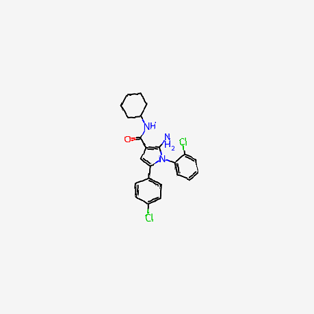 Nc1c(C(=O)NC2CCCCC2)cc(-c2ccc(Cl)cc2)n1-c1ccccc1Cl